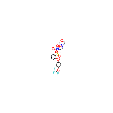 O=CN(O)C(CN1CCOCC1)CS(=O)(=O)c1ccccc1Oc1ccc(OC(F)(F)F)cc1